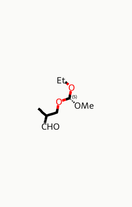 CCO[C@H](OC)OCC(C)C=O